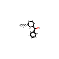 O=C(O)C1CCCC(C(=O)c2ccccc2)C1